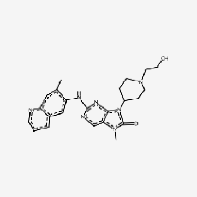 Cc1cc2ncccc2cc1Nc1ncc2c(n1)n(C1CCN(CCO)CC1)c(=O)n2C